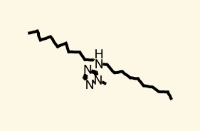 CCCCCCCCCCNCCCCCCCCCC.Cn1cncn1